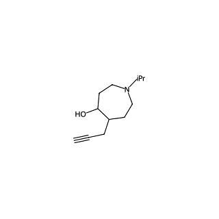 C#CCC1CCN(C(C)C)CCC1O